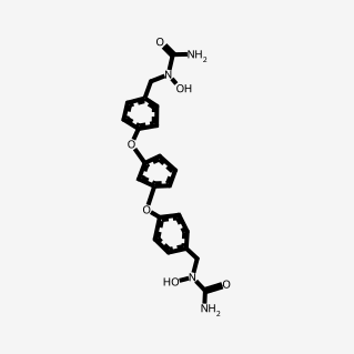 NC(=O)N(O)Cc1ccc(Oc2cccc(Oc3ccc(CN(O)C(N)=O)cc3)c2)cc1